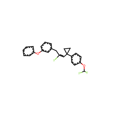 F/C(=C/C1(c2ccc(OC(F)F)cc2)CC1)Cc1cccc(Oc2ccccc2)c1